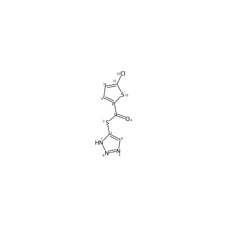 O=C(Sc1cnn[nH]1)c1ccc(Cl)s1